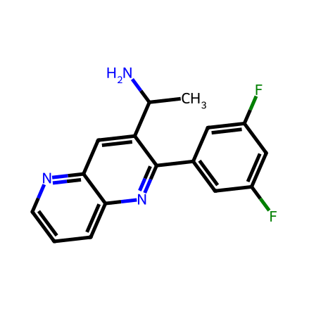 CC(N)c1cc2ncccc2nc1-c1cc(F)cc(F)c1